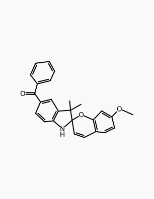 COc1ccc2c(c1)OC1(C=C2)Nc2ccc(C(=O)c3ccccc3)cc2C1(C)C